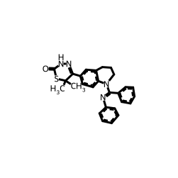 CC1(C)SC(=O)NN=C1c1ccc2c(c1)CCCN2C(=Nc1ccccc1)c1ccccc1